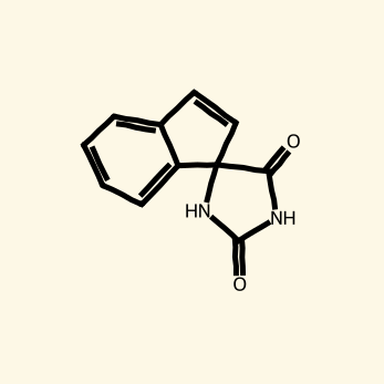 O=C1NC(=O)C2(C=Cc3ccccc32)N1